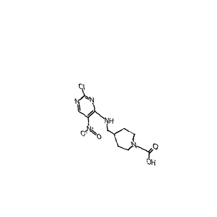 O=C(O)N1CCC(CNc2nc(Cl)ncc2[N+](=O)[O-])CC1